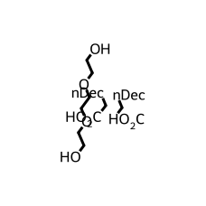 CCCCCCCCCCCC(=O)O.CCCCCCCCCCCC(=O)O.OCCOCCOCCO